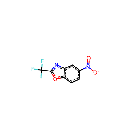 O=[N+]([O-])c1ccc2oc(C(F)(F)F)nc2c1